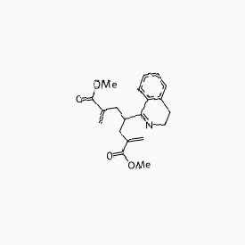 C=C(CC(CC(=C)C(=O)OC)C1=NCCc2ccccc21)C(=O)OC